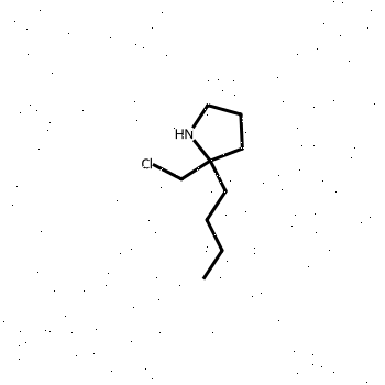 CCCCC1(CCl)CCCN1